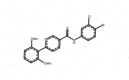 COc1cccc(OC)c1-c1ccc(C(=O)Nc2ccc(Br)c(Cl)c2)cn1